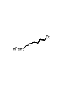 [CH2]C/C=C/CCCCCCCCC